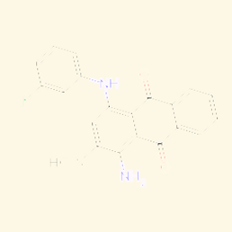 Nc1c(S(=O)(=O)O)cc(Nc2cccc(Cl)c2)c2c1C(=O)c1ccccc1C2=O